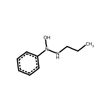 CCCNN(O)c1ccccc1